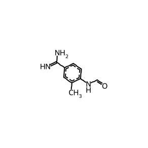 Cc1cc(C(=N)N)ccc1NC=O